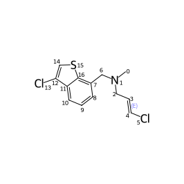 CN(C/C=C/Cl)Cc1cccc2c(Cl)csc12